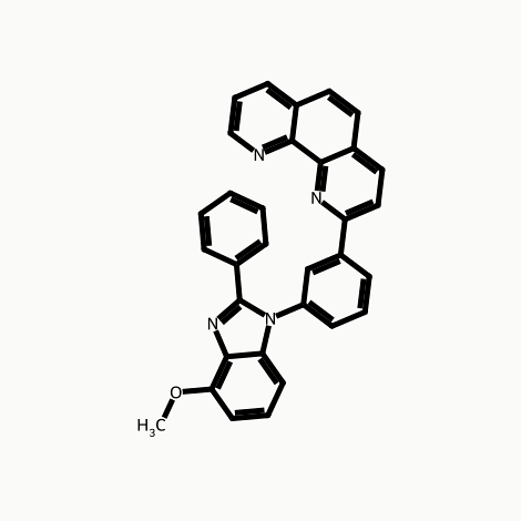 COc1cccc2c1nc(-c1ccccc1)n2-c1cccc(-c2ccc3ccc4cccnc4c3n2)c1